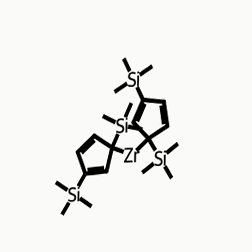 C[Si](C)(C)C1=C[C]([Zr][C]2([Si](C)(C)C)C=CC([Si](C)(C)C)=C2)([Si](C)(C)C)C=C1